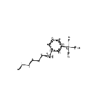 CCCCCCNc1cccc(C(F)(F)F)c1